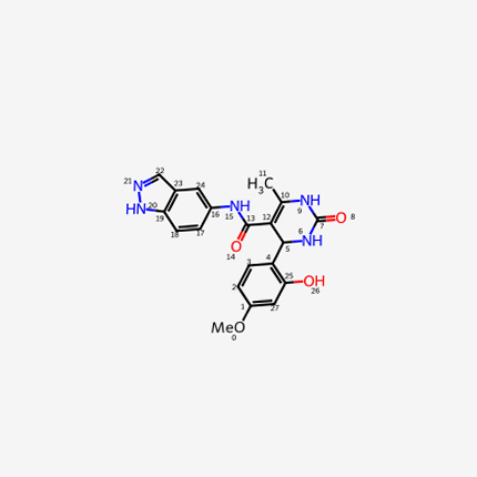 COc1ccc(C2NC(=O)NC(C)=C2C(=O)Nc2ccc3[nH]ncc3c2)c(O)c1